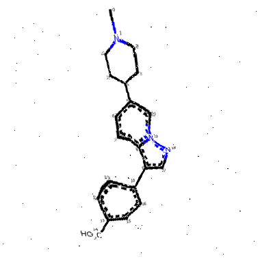 CN1CCC(c2ccc3c(-c4ccc(C(=O)O)cc4)cnn3c2)CC1